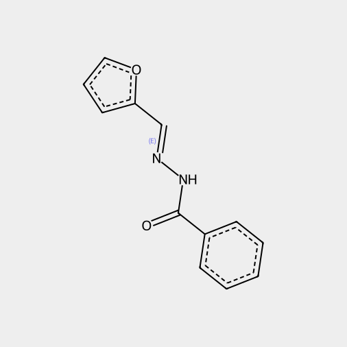 O=C(N/N=C/c1ccco1)c1ccccc1